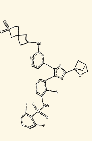 O=S1(=O)CC2(CC(Nc3nccc(-c4sc(C56CC(CO5)C6)nc4-c4cccc(NS(=O)(=O)c5c(F)cccc5F)c4F)n3)C2)C1